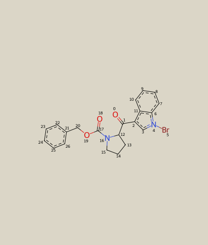 O=C(c1cn(Br)c2ccccc12)C1CCCN1C(=O)OCc1ccccc1